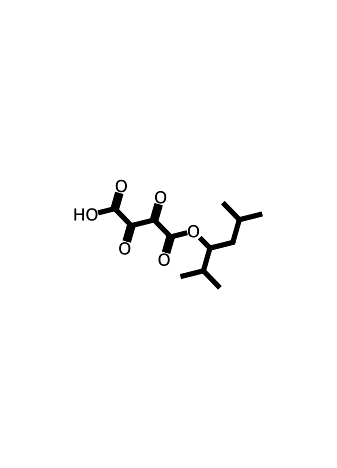 CC(C)CC(OC(=O)C(=O)C(=O)C(=O)O)C(C)C